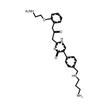 CC(=O)NCCOc1ccccc1CC(=O)Cc1nc(=O)c(-c2ccc(CNCCCN)cc2)c[nH]1